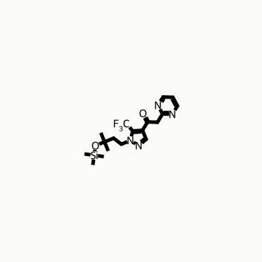 CC(C)(CCn1ncc(C(=O)Cc2ncccn2)c1C(F)(F)F)O[Si](C)(C)C